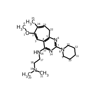 COC1=Cc2c(nc(N3CCCCC3)nc2NCCN(C)C)CC=C1C